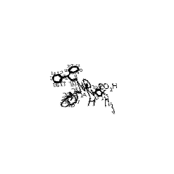 Cc1ccc(NC(=O)N(CCC(c2ccccc2)c2ccccc2)CCN2CCOCC2)cc1C(=O)O